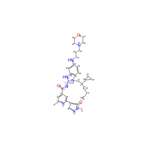 Cc1cc2cc(n1)-c1cnn(C)c1OCCCC(C1CC1)CN1/C(=N/C2=O)Nc2cc(NCCCN3CCOCC3)ccc21